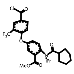 COC(=O)c1cc(Oc2ccc(C(=O)Cl)cc2C(F)(F)F)ccc1N(C(=O)C1CCCCC1)C(C)C